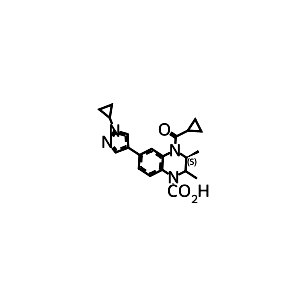 CC1[C@H](C)N(C(=O)C2CC2)c2cc(-c3cnn(C4CC4)c3)ccc2N1C(=O)O